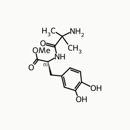 COC(=O)[C@H](Cc1ccc(O)c(O)c1)NC(=O)C(C)(C)N